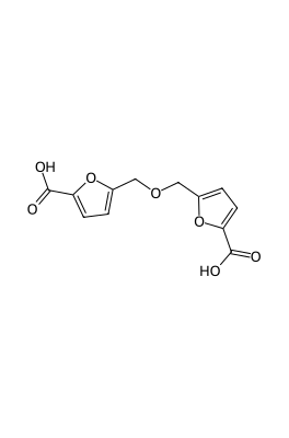 O=C(O)c1ccc(COCc2ccc(C(=O)O)o2)o1